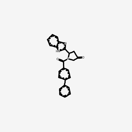 O=C1CC(c2nc3ccccc3[nH]2)N(C(=O)c2ccc(-c3ccccc3)cc2)C1